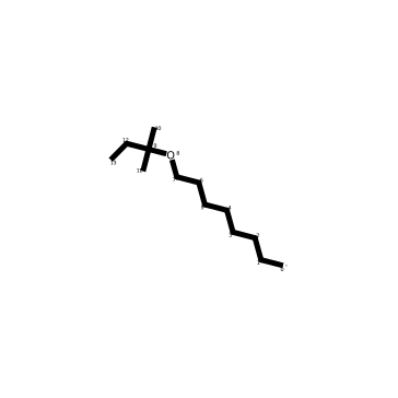 [CH2]CCCCCCCOC(C)(C)CC